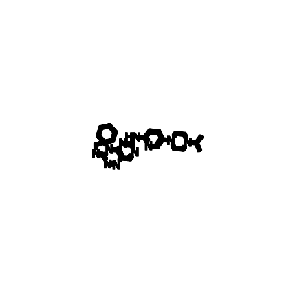 CC(C)N1CCN(c2ccc(Nc3ncc4c(n3)N3C(=NCC35CCCCC5)N=N4)nc2)CC1